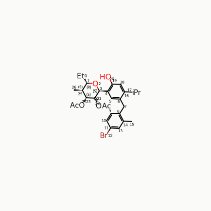 CC[C@H]1O[C@@H](c2cc(Cc3ccc(Br)cc3C)c(C(C)C)cc2O)[C@@H](OC(C)=O)[C@@H](OC(C)=O)[C@H]1C